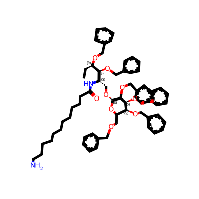 CC[C@@H](OCc1ccccc1)[C@@H](OCc1ccccc1)[C@H](CO[C@H]1OC(COCc2ccccc2)[C@H](OCc2ccccc2)[C@H](OCc2ccccc2)C1OCc1ccccc1)NC(=O)CCCCCCCCCCCN